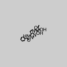 C=C1O[C@@H](n2ccc3c(NC(=O)c4ccccc4)ncnc32)[C@H](O)[C@@H]1O